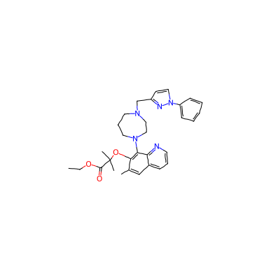 CCOC(=O)C(C)(C)Oc1c(C)cc2cccnc2c1N1CCCN(Cc2ccn(-c3ccccc3)n2)CC1